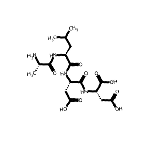 CC(C)C[C@H](NC(=O)[C@H](C)N)C(=O)N[C@@H](CC(=O)O)C(=O)N[C@@H](CC(=O)O)C(=O)O